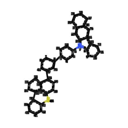 c1cc(-c2ccc(-n3c4ccccc4c4cc5ccccc5cc43)cc2)cc(-c2ccc3c4c(cccc24)-c2ccccc2S3)c1